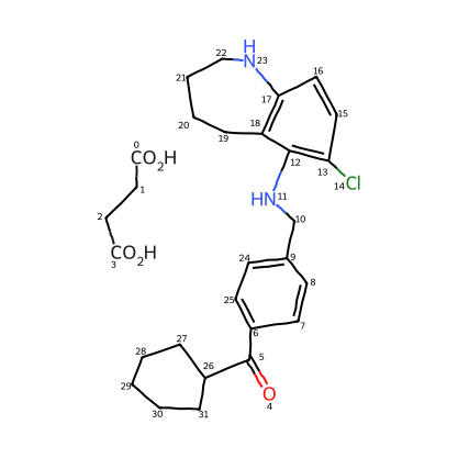 O=C(O)CCC(=O)O.O=C(c1ccc(CNc2c(Cl)ccc3c2CCCCN3)cc1)C1CCCCC1